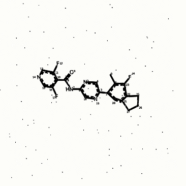 Cc1c(-c2cnc(NC(=O)c3c(F)cncc3F)cn2)cc2c(c1F)CCC2